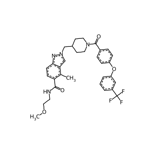 COCCNC(=O)c1ccc2nn(CC3CCN(C(=O)c4ccc(Oc5cccc(C(F)(F)F)c5)cc4)CC3)cc2c1C